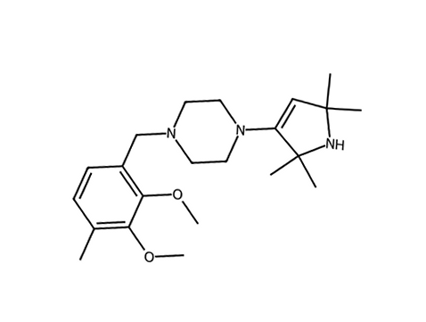 COc1c(C)ccc(CN2CCN(C3=CC(C)(C)NC3(C)C)CC2)c1OC